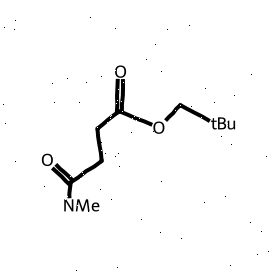 CNC(=O)CCC(=O)OCC(C)(C)C